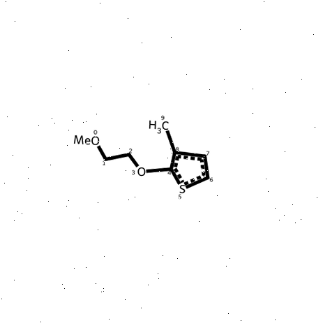 COCCOc1sccc1C